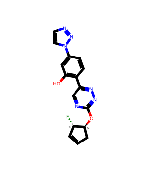 Oc1cc(-n2ccnn2)ccc1-c1cnc(O[C@H]2CC=C[C@@H]2F)nn1